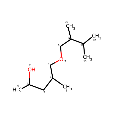 CC(O)CC(C)COCC(C)C(C)C